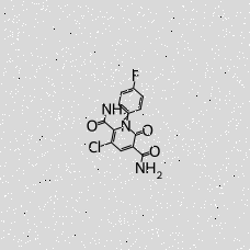 NC(=O)c1cc(Cl)c(C(N)=O)n(-c2ccc(F)cc2)c1=O